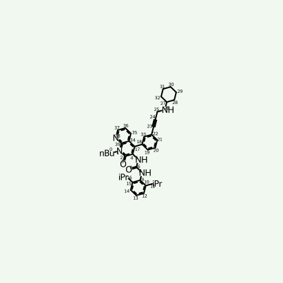 CCCCn1c(=O)c(NC(=O)Nc2c(C(C)C)cccc2C(C)C)c(-c2cccc(C#CCNC3CCCCC3)c2)c2cccnc21